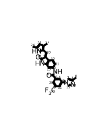 Cc1cn(-c2cc(C(=O)Nc3ccc4c(c3)NC(=O)/C4=C\c3[nH]c(C)cc3C)cc(C(F)(F)F)c2)cn1